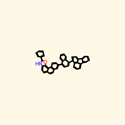 c1ccc(C2Nc3ccc4ccc5cc(-c6ccc(-c7ccc8c9c(cccc79)-c7ccccc7-8)c7ccccc67)ccc5c4c3O2)cc1